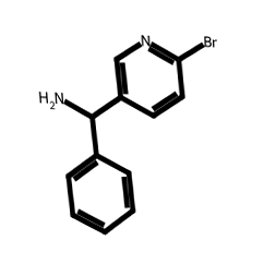 NC(c1ccccc1)c1ccc(Br)nc1